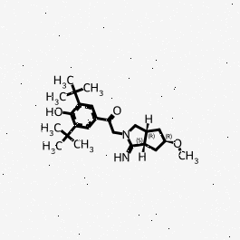 CO[C@@H]1C[C@H]2CN(CC(=O)c3cc(C(C)(C)C)c(O)c(C(C)(C)C)c3)C(=N)[C@H]2C1